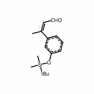 C/C(=C/C=O)c1cccc(O[Si](C)(C)C(C)(C)C)c1